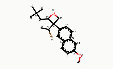 COc1ccc2cc(C3(C(C)Br)COC3CC(C)(C)C)ccc2c1